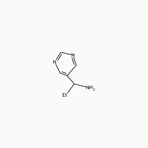 CCC(N)c1cncnc1